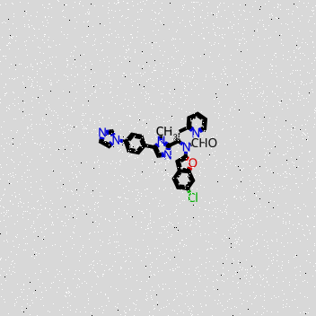 Cn1c(-c2ccc(-n3ccnc3)cc2)cnc1[C@H](Cc1ccccn1)N(C=O)c1cc2ccc(Cl)cc2o1